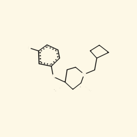 C[C@@H]1C[C@@](C#N)(Nc2cccc(F)c2)CCN1CC1CCC1